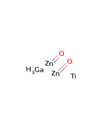 [GaH3].[O]=[Zn].[O]=[Zn].[Ti]